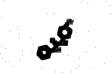 CC(C)N1CCC(NC(=O)Nc2ccccc2)CC1